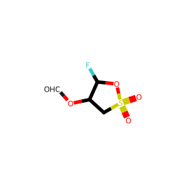 O=COC1CS(=O)(=O)OC1F